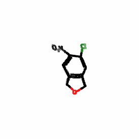 O=[N+]([O-])c1cc2c(cc1Cl)COC2